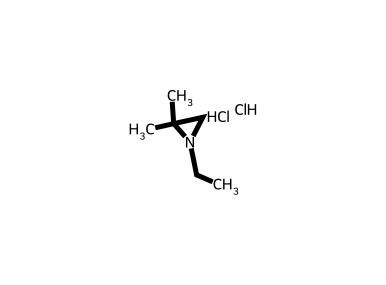 CCN1CC1(C)C.Cl.Cl